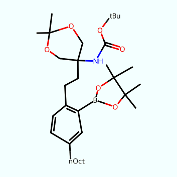 CCCCCCCCc1ccc(CCC2(NC(=O)OC(C)(C)C)COC(C)(C)OC2)c(B2OC(C)(C)C(C)(C)O2)c1